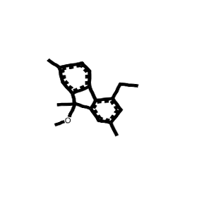 CCc1cc(C)cc2c1-c1ccc(C)cc1C2(C)OC